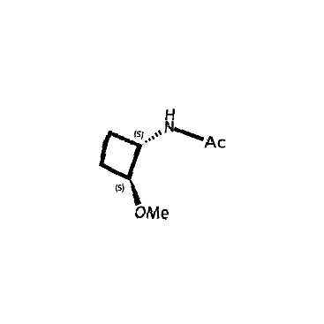 CO[C@H]1CC[C@@H]1NC(C)=O